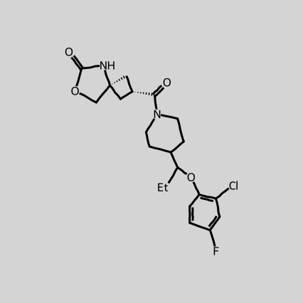 CCC(Oc1ccc(F)cc1Cl)C1CCN(C(=O)[C@H]2C[C@@]3(COC(=O)N3)C2)CC1